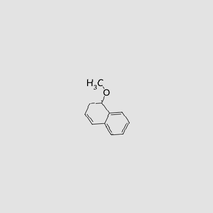 CO[C]1CC=Cc2ccccc21